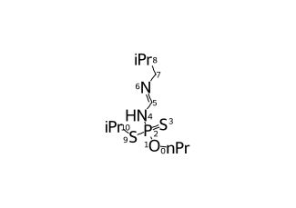 CCCOP(=S)(NC=NCC(C)C)SC(C)C